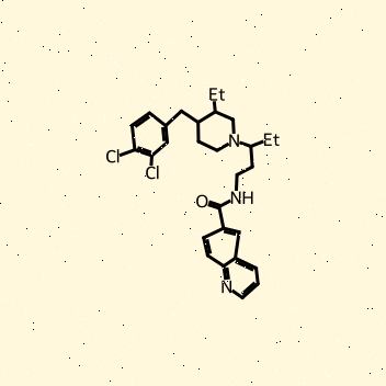 CCC1CN(C(CC)CCNC(=O)c2ccc3ncccc3c2)CCC1Cc1ccc(Cl)c(Cl)c1